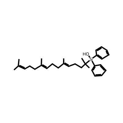 CC(C)=CCC/C(C)=C/CC/C(C)=C/CCC(C)(C)[Si](O)(c1ccccc1)c1ccccc1